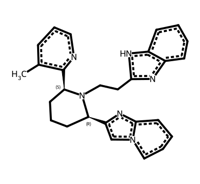 Cc1cccnc1[C@@H]1CCC[C@H](c2cn3ccccc3n2)N1CCc1nc2ccccc2[nH]1